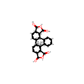 O=C1OC(=O)c2c1ccc(C(=O)O)c2-c1ccccc1-c1c(C(=O)O)ccc2c1C(=O)OC2=O